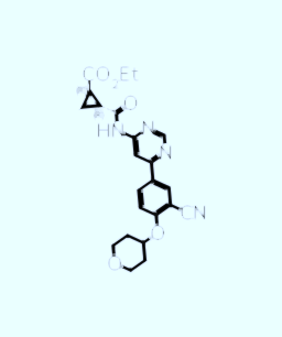 CCOC(=O)[C@@H]1C[C@H]1C(=O)Nc1cc(-c2ccc(OC3CCOCC3)c(C#N)c2)ncn1